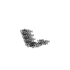 O=C([O-])C(O)C(O)C(O)C(O)CO.O=C([O-])C(O)C(O)C(O)C(O)CO.O=C([O-])C(O)C(O)C(O)C(O)CO.O=C([O-])C(O)C(O)C(O)C(O)CO.O=C([O-])C(O)C(O)C(O)C(O)CO.O=C([O-])C(O)C(O)C(O)C(O)CO.[C+4].[Ca+2]